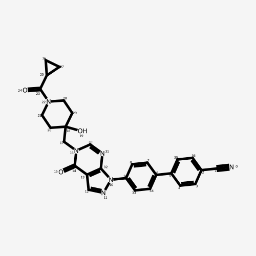 N#Cc1ccc(-c2ccc(-n3ncc4c(=O)n(CC5(O)CCN(C(=O)C6CC6)CC5)cnc43)cc2)cc1